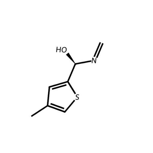 C=N[C@H](O)c1cc(C)cs1